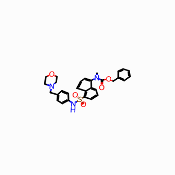 CN(C(=O)OCc1ccccc1)c1cccc2c(S(=O)(=O)Nc3ccc(CN4CCOCC4)cc3)cccc12